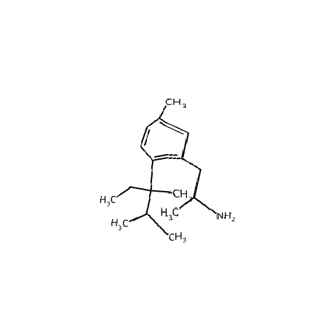 CCC(C)(c1ccc(C)cc1CC(C)N)C(C)C